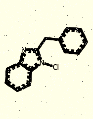 Cln1c(Cc2ccccc2)nc2ccccc21